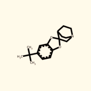 CC(C)(C)c1ccc2c(c1)OC1(CN3CCC1CC3)O2